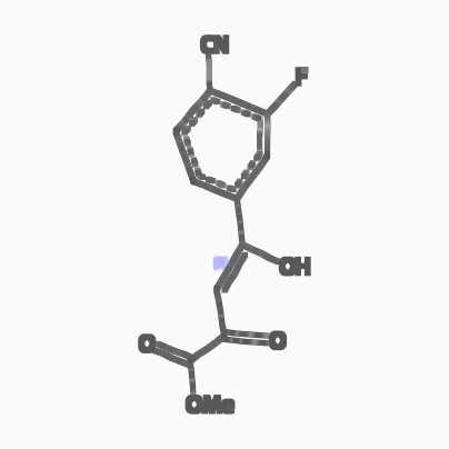 COC(=O)C(=O)/C=C(\O)c1ccc(C#N)c(F)c1